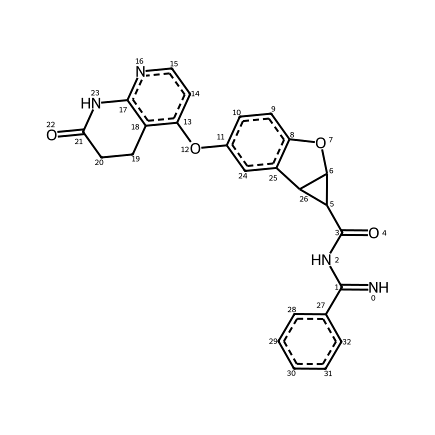 N=C(NC(=O)C1C2Oc3ccc(Oc4ccnc5c4CCC(=O)N5)cc3C21)c1ccccc1